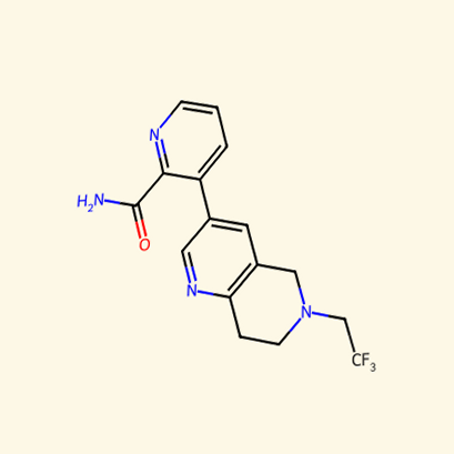 NC(=O)c1ncccc1-c1cnc2c(c1)CN(CC(F)(F)F)CC2